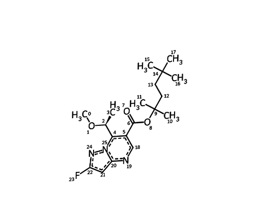 CO[C@@H](C)c1c(C(=O)OC(C)(C)CCC(C)(C)C)cnc2cc(F)nn12